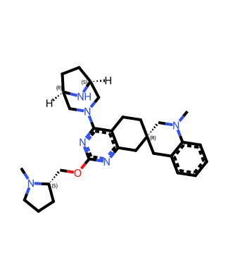 CN1C[C@]2(CCc3c(nc(OC[C@@H]4CCCN4C)nc3N3C[C@H]4CC[C@@H](C3)N4)C2)Cc2ccccc21